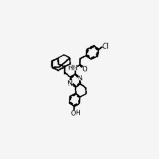 O=C(Cc1ccc(Cl)cc1)Nc1nc2c(nc1CC13CC4CC(CC(C4)C1)C3)-c1ccc(O)cc1CC2